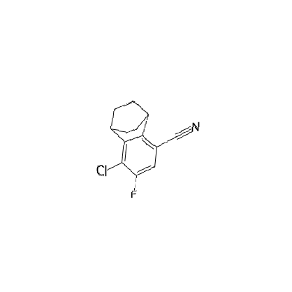 N#Cc1cc(F)c(Cl)c2c1C1CCC2CC1